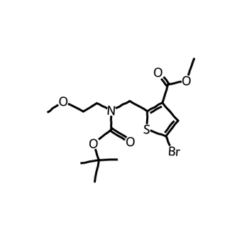 COCCN(Cc1sc(Br)cc1C(=O)OC)C(=O)OC(C)(C)C